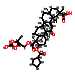 Cc1oc(=O)oc1COC(=O)[C@@]1(C)C2CC[C@]3(C)[C@H](C(=O)C=C4[C@@H]5C[C@@](C)(C(=O)O)CC[C@]5(C)CC[C@]43C)[C@@]2(C)CC[C@@H]1OC(=O)C1CCCC1